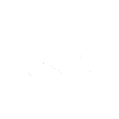 CC(=O)N1N=C(c2ccccc2F)S[C@]12c1ccccc1CC[C@@H]2CCN